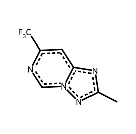 Cc1nc2cc(C(F)(F)F)ncn2n1